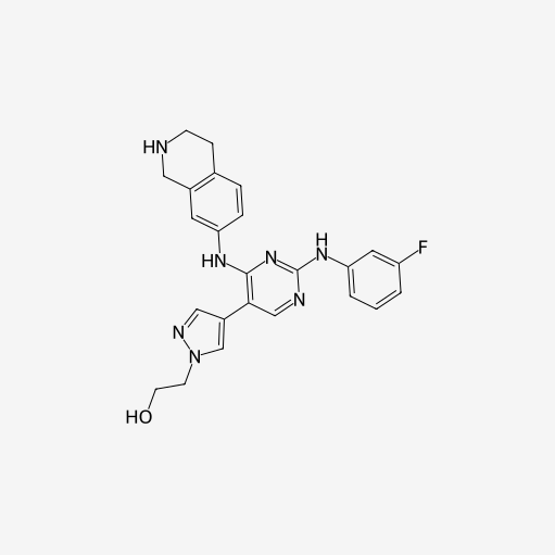 OCCn1cc(-c2cnc(Nc3cccc(F)c3)nc2Nc2ccc3c(c2)CNCC3)cn1